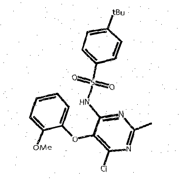 COc1ccccc1Oc1c(Cl)nc(C)nc1NS(=O)(=O)c1ccc(C(C)(C)C)cc1